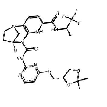 C[C@@H](NC(=O)C1C=CC2=C(N1)N(C(=O)Nc1nccc(OC[C@@H]3COC(C)(C)O3)n1)[C@H]1CCN2C1)C(F)(F)F